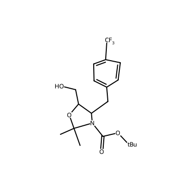 CC(C)(C)OC(=O)N1C(Cc2ccc(C(F)(F)F)cc2)C(CO)OC1(C)C